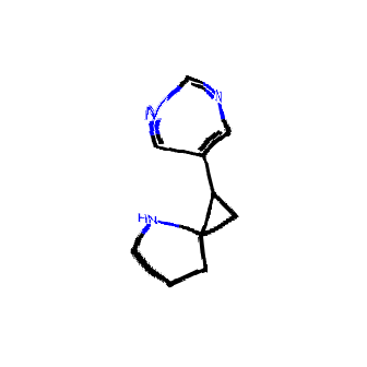 c1ncc(C2CC23CCCN3)cn1